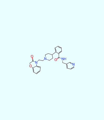 O=C(NCc1cccnc1)c1ccccc1C1CCN(CCN2C(=O)COc3ccccc32)CC1